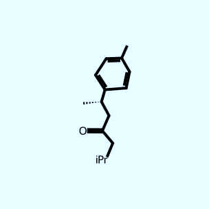 Cc1ccc([C@@H](C)CC(=O)CC(C)C)cc1